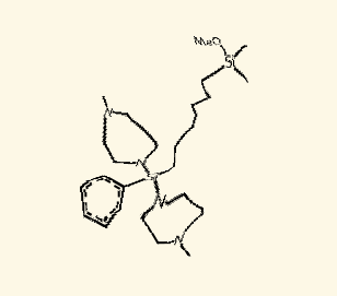 CO[Si](C)(C)CCCCCC[Si](c1ccccc1)(N1CCN(C)CC1)N1CCN(C)CC1